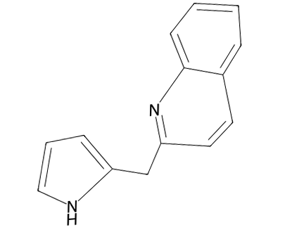 c1c[nH]c(Cc2ccc3ccccc3n2)c1